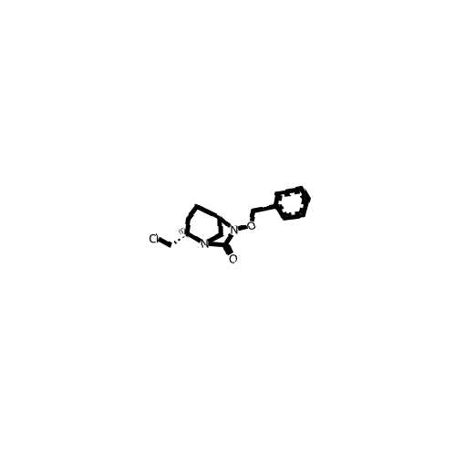 O=C1N(OCc2ccccc2)C2CC[C@@H](CCl)N1C2